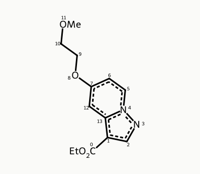 CCOC(=O)c1cnn2ccc(OCCOC)cc12